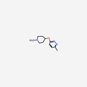 CSN1CCC(Oc2ccc(C)nn2)CC1